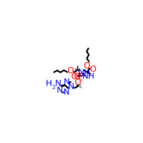 CCCCCOC(=O)[C@@H](C)N[P@@](=O)(CO[C@H](C)Cn1cnc2c(N)ncnc21)NC(C)(C)C(=O)OCCCCC